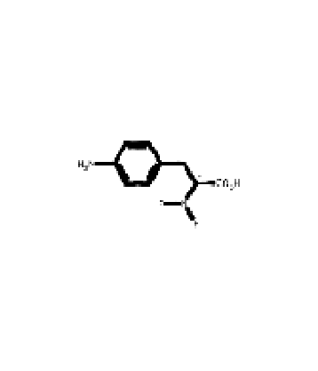 Nc1ccc(C[C@@H](C(=O)O)N(F)F)cc1